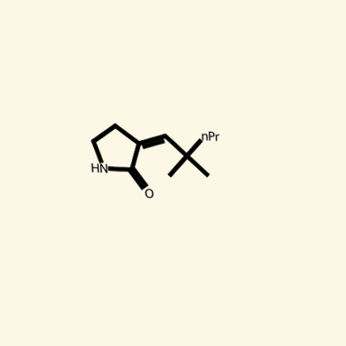 CCCC(C)(C)/C=C1/CCNC1=O